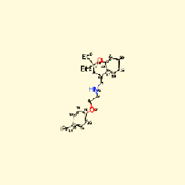 CCC1(CC)CC(CNCCOc2ccc(C(C)C)cc2)c2ccccc2O1